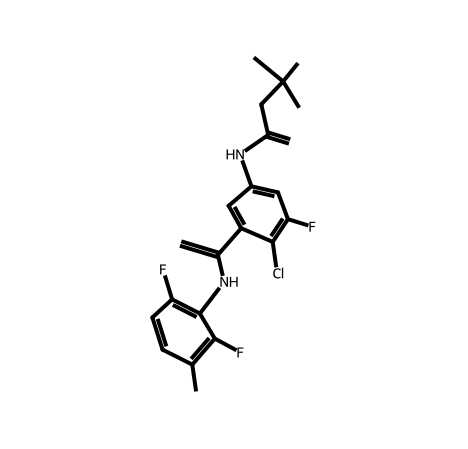 C=C(CC(C)(C)C)Nc1cc(F)c(Cl)c(C(=C)Nc2c(F)ccc(C)c2F)c1